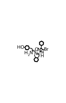 N[C@@H](Cc1ccc(O)cc1)C(=O)N1Cc2ccccc2C[C@H]1c1nc(-c2ccccc2)c(Br)[nH]1